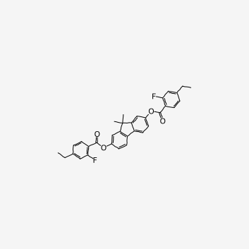 CCc1ccc(C(=O)Oc2ccc3c(c2)C(C)(C)c2cc(OC(=O)c4ccc(CC)cc4F)ccc2-3)c(F)c1